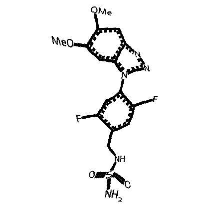 COc1cc2nnn(-c3cc(F)c(CNS(N)(=O)=O)cc3F)c2cc1OC